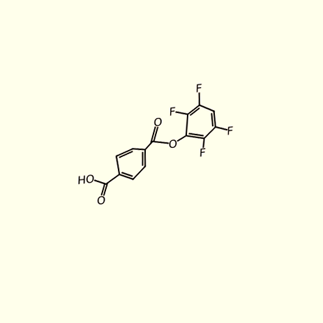 O=C(O)c1ccc(C(=O)Oc2c(F)c(F)cc(F)c2F)cc1